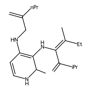 C=C(CCC)CNC1=C(N/C(C(=C)C(C)C)=C(\C)CC)C(C)NC=C1